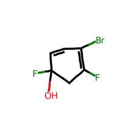 OC1(F)C=CC(Br)=C(F)C1